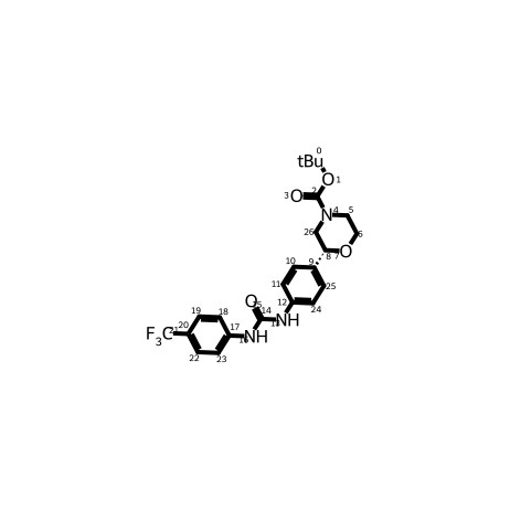 CC(C)(C)OC(=O)N1CCO[C@H](c2ccc(NC(=O)Nc3ccc(C(F)(F)F)cc3)cc2)C1